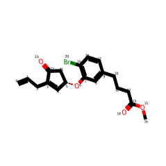 C=CCC1=C[C@@H](Oc2cc(CCCC(=O)OC)ccc2Br)CC1=O